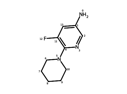 Nc1cnc(N2CCCCC2)c(F)c1